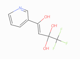 OC(=CC(O)(O)C(F)(F)F)c1cccnc1